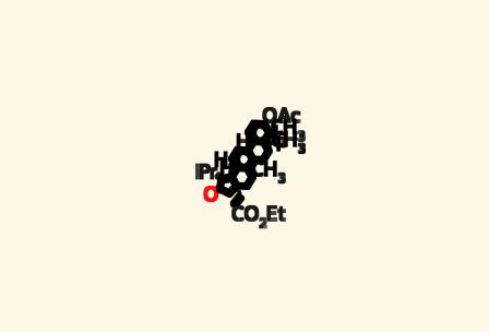 CCOC(=O)/C=C/[C@@]12CC[C@]3(C)[C@H](CC[C@@H]4[C@@]5(C)CC[C@H](OC(C)=O)C(C)(C)[C@@H]5CC[C@]43C)C1=C(C(C)C)C(=O)C2